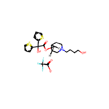 O=C(O[C@H]1C[N+]2(CCCCO)CCC1CC2)C(O)(c1cccs1)c1cccs1.O=C([O-])C(F)(F)F